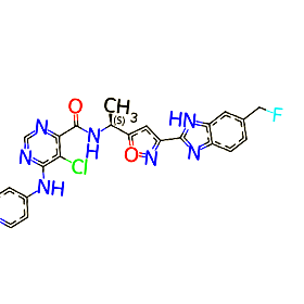 C[C@H](NC(=O)c1ncnc(Nc2ccncc2)c1Cl)c1cc(-c2nc3ccc(CF)cc3[nH]2)no1